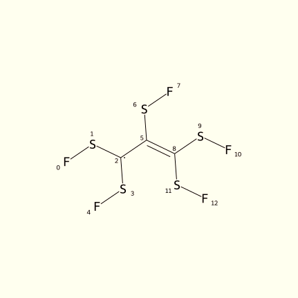 FS[C](SF)C(SF)=C(SF)SF